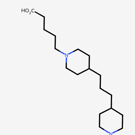 O=C(O)CCCCN1CCC(CCCC2CCNCC2)CC1